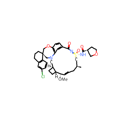 CO[C@H]1/C=C/C[C@H](C)C[S@@](=O)(NC(=O)[C@H]2CCOC2)=NC(=O)c2ccc3c(c2)N(C[C@@H]2CC[C@H]21)C[C@@]1(CCCc2cc(Cl)ccc21)CO3